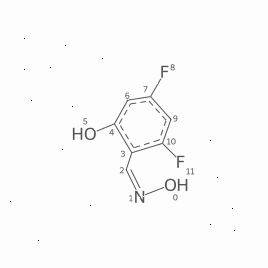 O/N=C\c1c(O)cc(F)cc1F